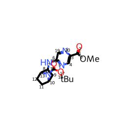 COC(=O)c1cnc(NC2CC3CCC2N3C(=O)OC(C)(C)C)cn1